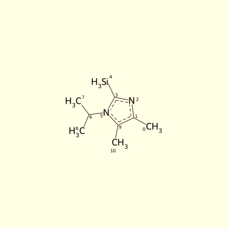 Cc1nc([SiH3])n(C(C)C)c1C